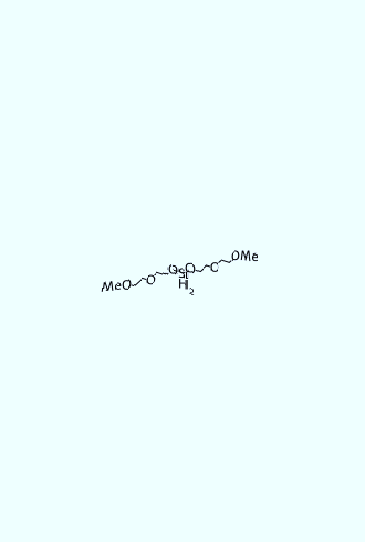 COCCOCCO[SiH2]OCCOCCOC